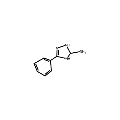 NC1NN=C(c2ccccc2)N1